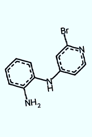 Nc1ccccc1Nc1ccnc(Br)c1